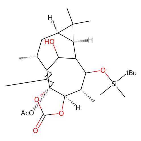 CC(=O)O[C@H]1C(C)=C[C@]23C(O)C(C(O[Si](C)(C)C(C)(C)C)[C@H](C)[C@H]4OC(=O)O[C@@]412)[C@H]1[C@@H](C[C@H]3C)C1(C)C